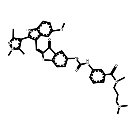 COc1ccc2[nH]c(-c3c(C)nn(C)c3C)c(C=C3Oc4ccc(NC(=O)Nc5cccc(C(=O)N(C)CCCN(C)C)c5)cc4C3=O)c2c1